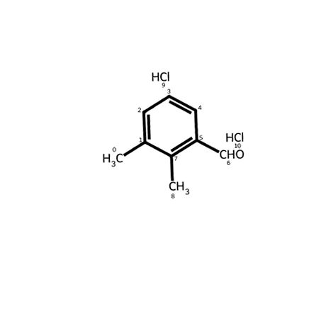 Cc1cccc(C=O)c1C.Cl.Cl